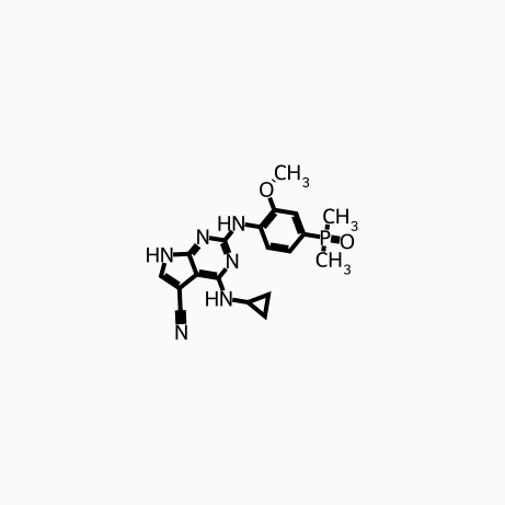 COc1cc(P(C)(C)=O)ccc1Nc1nc(NC2CC2)c2c(C#N)c[nH]c2n1